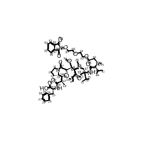 CC[C@H](C)C([C@@H](CC(=O)N1CCC[C@H]1[C@H](OC)[C@@H](C)C(=O)N[C@@H](Cc1ccccc1)C(=O)O)OC)N(C)C[C@](C=O)(NC(=O)[C@H](C(C)C)N(C)CCOCCOCCON1C(=O)c2ccccc2C1=O)C(C)C